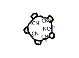 N#C/C1=C\c2cccc(c2)/C(C#N)=C/c2cccc(c2)/C(C#N)=C/c2cccc(c2)/C(C#N)=C/c2cccc(c2)/C(C#N)=C/c2cccc1c2